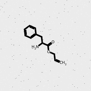 C=CCOC(=O)C(N)Cc1ccccc1